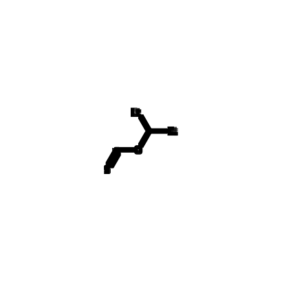 CCC(CC)O[C]=S